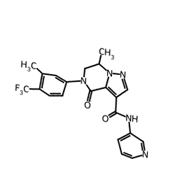 Cc1cc(N2CC(C)n3ncc(C(=O)Nc4cccnc4)c3C2=O)ccc1C(F)(F)F